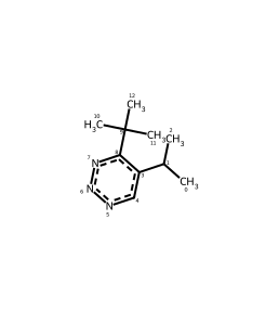 CC(C)c1cnnnc1C(C)(C)C